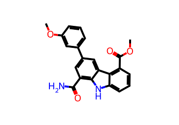 COC(=O)c1cccc2[nH]c3c(C(N)=O)cc(-c4cccc(OC)c4)cc3c12